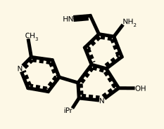 Cc1cc(-c2c(C(C)C)nc(O)c3cc(N)c(C=N)cc23)ccn1